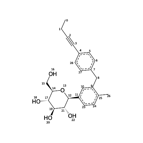 CCC#Cc1ccc(Cc2cc([C@@H]3O[C@H](CO)[C@@H](O)[C@H](O)[C@H]3O)ccc2C)cc1